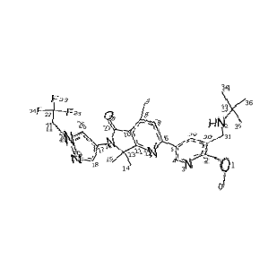 COc1ncc(-c2cc(C)c3c(n2)C(C)(C)N(c2cnn(CC(F)(F)F)c2)C3=O)cc1CNC(C)(C)C